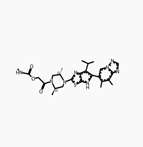 CNC(=O)OCC(=O)N1C[C@H](C)N(c2nc3c(C(C)C)c(-c4cn5ncnc5c(C)c4C)[nH]c3s2)C[C@H]1C